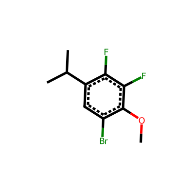 COc1c(Br)cc(C(C)C)c(F)c1F